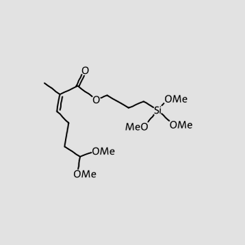 COC(CCC=C(C)C(=O)OCCC[Si](OC)(OC)OC)OC